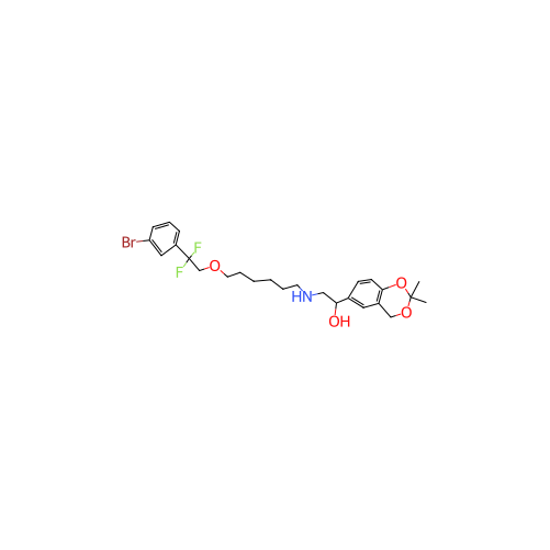 CC1(C)OCc2cc(C(O)CNCCCCCCOCC(F)(F)c3cccc(Br)c3)ccc2O1